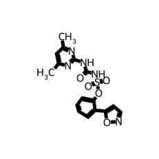 Cc1cc(C)nc(NC(=O)NS(=O)(=O)Oc2ccccc2-c2ccno2)n1